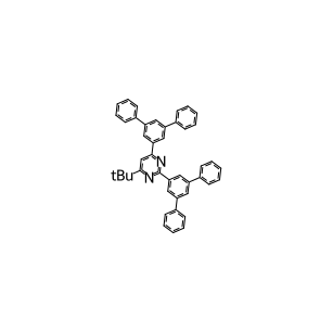 CC(C)(C)c1cc(-c2cc(-c3ccccc3)cc(-c3ccccc3)c2)nc(-c2cc(-c3ccccc3)cc(-c3ccccc3)c2)n1